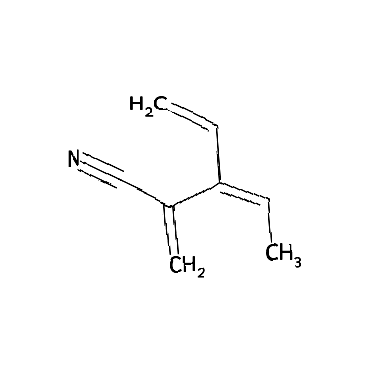 C=CC(=CC)C(=C)C#N